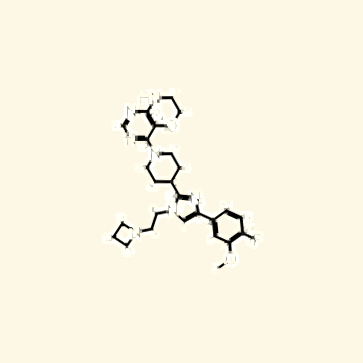 COc1cc(-c2cn(CCN3CCC3)c(C3CCN(c4ncnc5c4OCCN5)CC3)n2)ccc1F